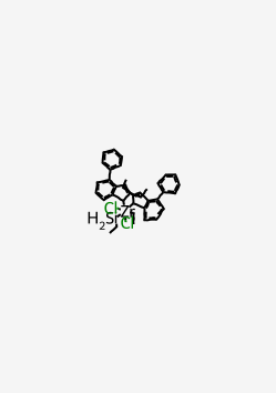 CC[SiH2][Zr]([Cl])([Cl])([CH2]C)([CH]1C(CC)=Cc2c(-c3ccccc3)cccc21)[CH]1C(CC)=Cc2c(-c3ccccc3)cccc21